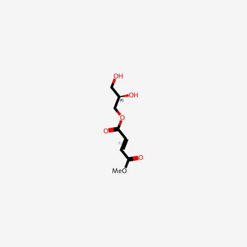 COC(=O)/C=C/C(=O)OC[C@H](O)CO